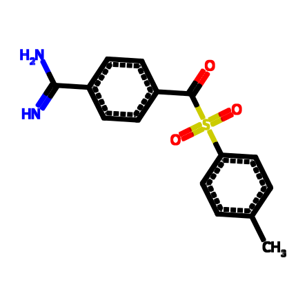 Cc1ccc(S(=O)(=O)C(=O)c2ccc(C(=N)N)cc2)cc1